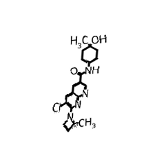 C[C@H]1CCN1c1nc2ncc(C(=O)NC3CCC(C)(O)CC3)cc2cc1Cl